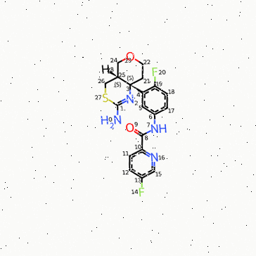 NC1=N[C@@]2(c3cc(NC(=O)c4ccc(F)cn4)ccc3F)CCOC[C@H]2CS1